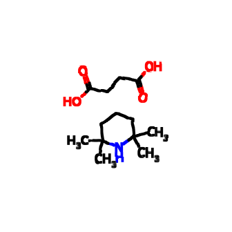 CC1(C)CCCC(C)(C)N1.O=C(O)CCC(=O)O